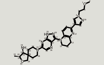 COCCn1cc(-c2ccc3c(n2)CCCN3c2n[nH]c3nc(N4CCC5(CC4)CO[C@@H](C)[C@H]5N)cnc23)cn1